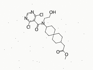 COC(=O)CC1CCC2(CC1)CCC(N(CCO)C(=O)c1c(Cl)ncnc1Cl)CC2